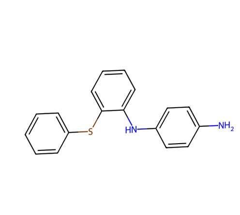 Nc1ccc(Nc2ccccc2Sc2ccccc2)cc1